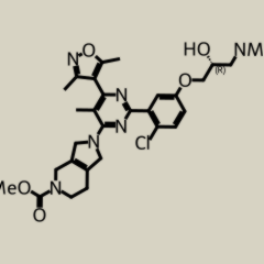 CNC[C@@H](O)COc1ccc(Cl)c(-c2nc(-c3c(C)noc3C)c(C)c(N3CC4=C(CN(C(=O)OC)CC4)C3)n2)c1